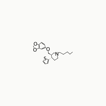 CCCCCN1CC[C@H](c2cccs2)[C@@H](COc2ccc3c(c2)OCO3)C1